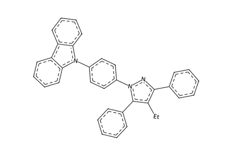 CCc1c(-c2ccccc2)nn(-c2ccc(-n3c4ccccc4c4ccccc43)cc2)c1-c1ccccc1